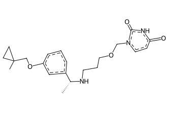 C[C@@H](NCCCOCn1ccc(=O)[nH]c1=O)c1cccc(OCC2(C)CC2)c1